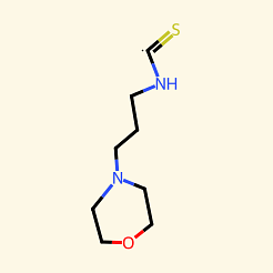 S=[C]NCCCN1CCOCC1